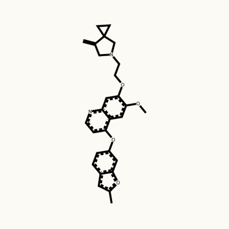 C=C1CN(CCOc2cc3nccc(Oc4ccc5cc(C)oc5c4)c3cc2OC)CC12CC2